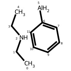 CCNCC.[AlH2][c]1ccccc1